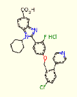 Cl.O=C(O)c1ccc2c(c1)nc(-c1ccc(OCc3cc(Cl)ccc3-c3ccncc3)cc1F)n2C1CCCCC1